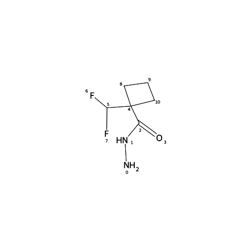 NNC(=O)C1(C(F)F)CCC1